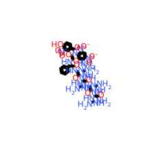 N=C(N)NC(NC(=O)C(NC(=N)N)NC(=O)C(NC(=N)N)NC(=O)C(NC(=N)N)NC(=O)C(NC(=O)C(O)N(Cc1ccc(O)c([N+](=O)[O-])c1)c1cc(N)c([N+](=O)[O-])cc1[N+](=O)[O-])c1ccccc1)C(N)=O